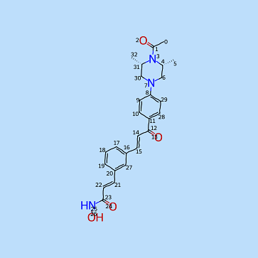 CC(=O)N1[C@H](C)CN(c2ccc(C(=O)/C=C/c3cccc(/C=C/C(=O)NO)c3)cc2)C[C@@H]1C